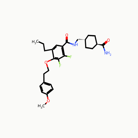 CCCc1cc(C(=O)NC[C@H]2CC[C@H](C(N)=O)CC2)c(F)c(F)c1OCCc1ccc(OC)cc1